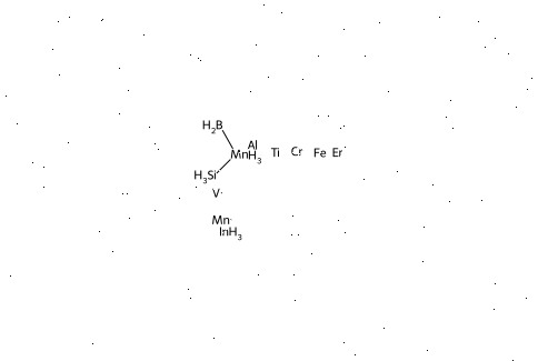 [AlH3].[BH2][Mn][SiH3].[Cr].[Er].[Fe].[InH3].[Mn].[Ti].[V]